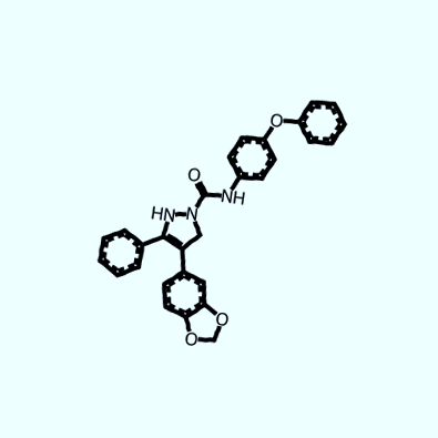 O=C(Nc1ccc(Oc2ccccc2)cc1)N1CC(c2ccc3c(c2)OCO3)=C(c2ccccc2)N1